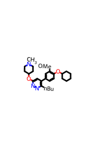 CCCCc1nnc(OC2CCN(C)CC2)cc1-c1ccc(OC2CCCCC2)c(OC)c1